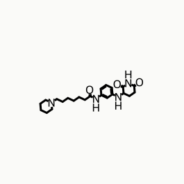 O=C1CCC(Nc2cccc(NC(=O)CCCCCCN3CCCCC3)c2)C(=O)N1